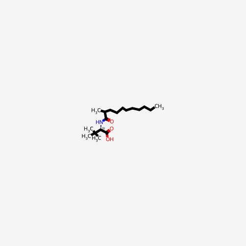 CCCCCCCCCC(C)C(=O)N[C@H](C(=O)O)C(C)(C)C